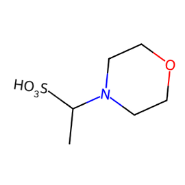 CC(N1CCOCC1)S(=O)(=O)O